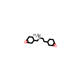 C[SiH](CCC1CCC2OC2C1)CC1CCC2OC2C1